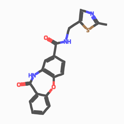 Cc1ncc(CNC(=O)c2ccc3c(c2)NC(=O)c2ccccc2O3)s1